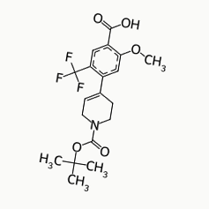 COc1cc(C2=CCN(C(=O)OC(C)(C)C)CC2)c(C(F)(F)F)cc1C(=O)O